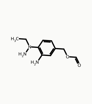 CCN(N)c1ccc(COC=O)cc1N